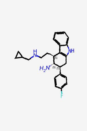 N[C@H]1[C@H](c2ccc(F)cc2)Cc2[nH]c3ccccc3c2[C@@H]1CCNCC1CC1